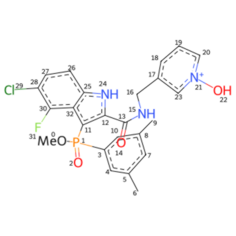 COP(=O)(c1cc(C)cc(C)c1)c1c(C(=O)NCc2ccc[n+](O)c2)[nH]c2ccc(Cl)c(F)c12